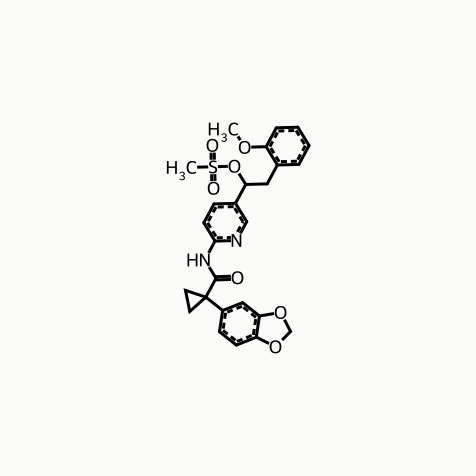 COc1ccccc1CC(OS(C)(=O)=O)c1ccc(NC(=O)C2(c3ccc4c(c3)OCO4)CC2)nc1